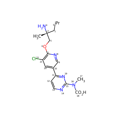 CC(C)C[C@@](C)(N)COc1ncc(-c2ccnc(N(C)C(=O)O)n2)cc1Cl